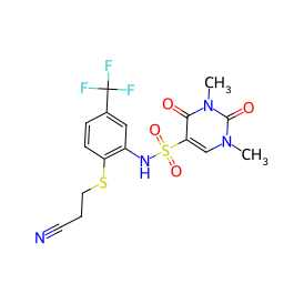 Cn1cc(S(=O)(=O)Nc2cc(C(F)(F)F)ccc2SCCC#N)c(=O)n(C)c1=O